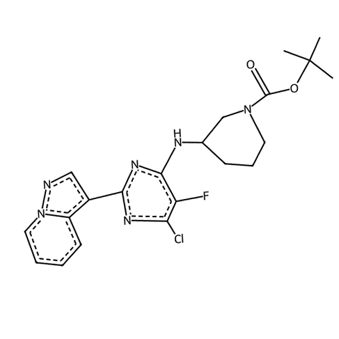 CC(C)(C)OC(=O)N1CCCC(Nc2nc(-c3cnn4ccccc34)nc(Cl)c2F)C1